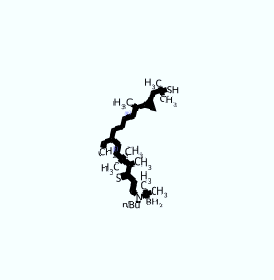 BC(C)(C)N(CCCC)CCC(=S)C(C)C(C)(C)/C=C/C(C=C)CC/C=C/C(C)C1C=C1CC(C)(C)S